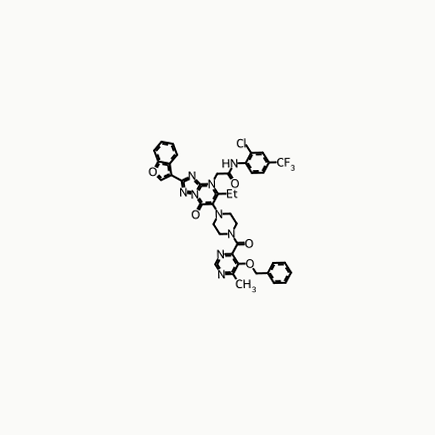 CCc1c(N2CCN(C(=O)c3ncnc(C)c3OCc3ccccc3)CC2)c(=O)n2nc(-c3coc4ccccc34)nc2n1CC(=O)Nc1ccc(C(F)(F)F)cc1Cl